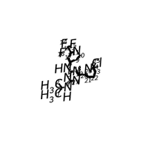 CC(C)Nc1nc(Nc2ccnc(C(F)(F)F)c2)nc(-c2cccc(Cl)n2)n1